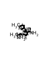 Cc1ccc(Nc2nc(NCC(C)N)c(F)cc2C(N)=O)cn1